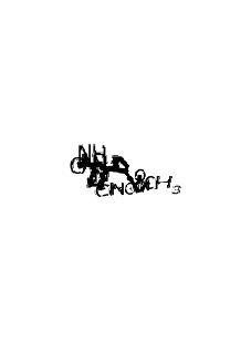 CN1CC[C@@](O)(C#Cc2cccc(-c3nc(C(N)=O)c4ccc(C#N)cn34)c2)C1=O